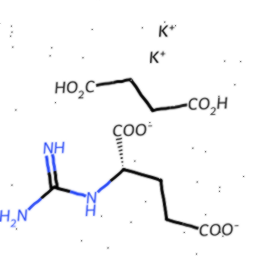 N=C(N)N[C@@H](CCC(=O)[O-])C(=O)[O-].O=C(O)CCC(=O)O.[K+].[K+]